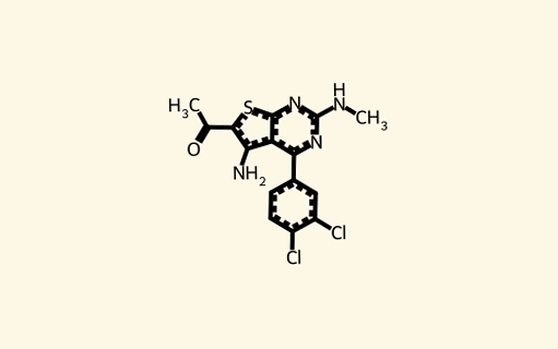 CNc1nc(-c2ccc(Cl)c(Cl)c2)c2c(N)c(C(C)=O)sc2n1